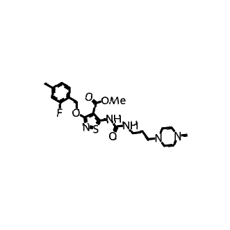 COC(=O)c1c(OCc2ccc(C)cc2F)nsc1NC(=O)NCCCN1CCN(C)CC1